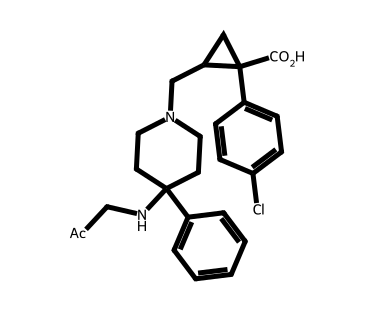 CC(=O)CNC1(c2ccccc2)CCN(CC2CC2(C(=O)O)c2ccc(Cl)cc2)CC1